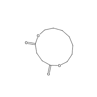 O=C1CCC(=O)OCCCCCCCO1